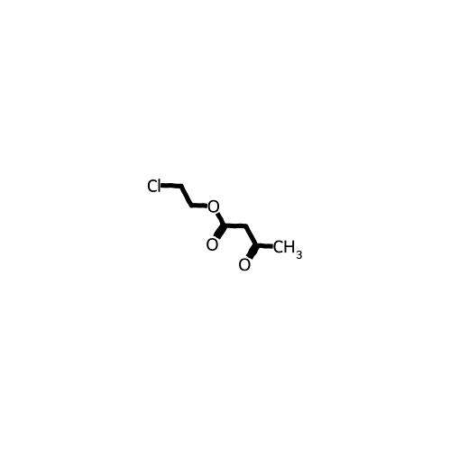 CC(=O)CC(=O)OCCCl